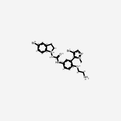 Cn1ncc(Br)c1-c1cc(NC(=O)ON2CCc3cc(Br)ccc32)ccc1OCCN